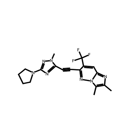 Cc1nc2cc(C(F)(F)F)c(C#Cc3nc(N4CCCC4)nn3C)nn2c1C